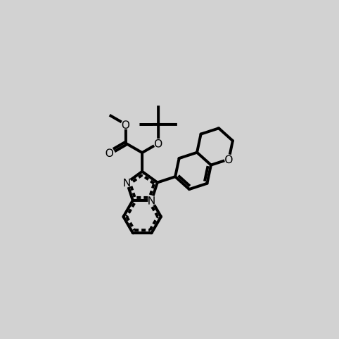 COC(=O)C(OC(C)(C)C)c1nc2ccccn2c1C1=CC=C2OCCCC2C1